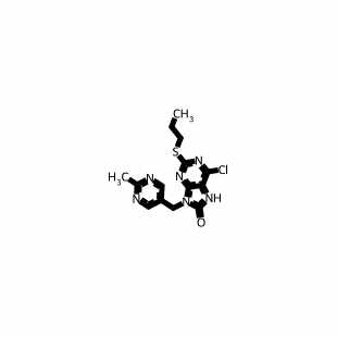 CCCSc1nc(Cl)c2[nH]c(=O)n(Cc3cnc(C)nc3)c2n1